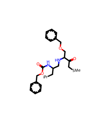 CSCC(=O)C(COCc1ccccc1)NCC(CC(C)C)NC(=O)OCc1ccccc1